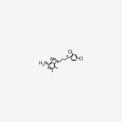 Cc1nc(N)c2ncn(CCCSc3ccc(Cl)cc3Cl)c2c1C